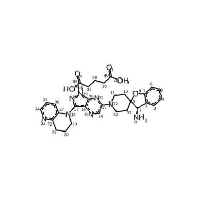 N[C@@H]1c2ccccc2OC12CCN(c1cnc3c(N4CCCc5ncccc54)n[nH]c3n1)CC2.O=C(O)CCCC(=O)O